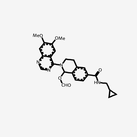 COc1cc2ncnc(N3CCc4cc(C(=O)NCC5CC5)ccc4C3OC=O)c2cc1OC